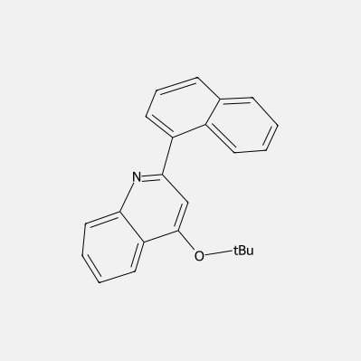 CC(C)(C)Oc1cc(-c2cccc3ccccc23)nc2ccccc12